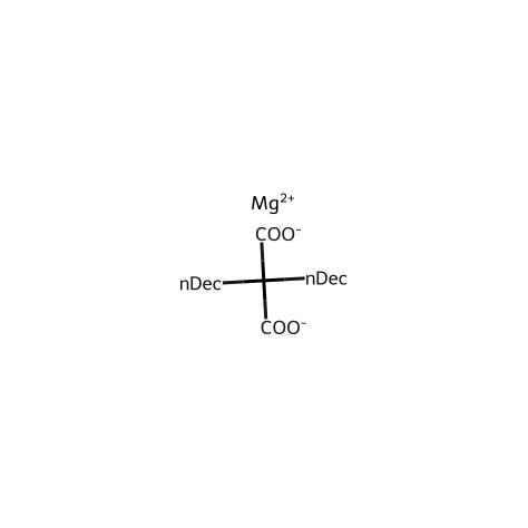 CCCCCCCCCCC(CCCCCCCCCC)(C(=O)[O-])C(=O)[O-].[Mg+2]